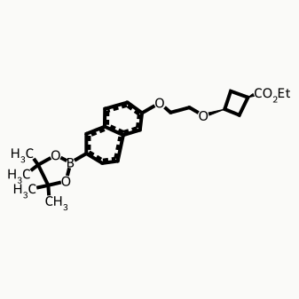 CCOC(=O)[C@H]1C[C@@H](OCCOc2ccc3cc(B4OC(C)(C)C(C)(C)O4)ccc3c2)C1